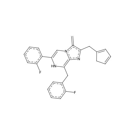 C=c1c(CC2=CC=CC2)nc2n1C=C(c1ccccc1F)NC=2Cc1ccccc1F